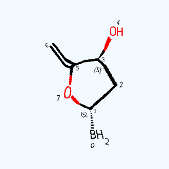 B[C@H]1C[C@H](O)C(=C)O1